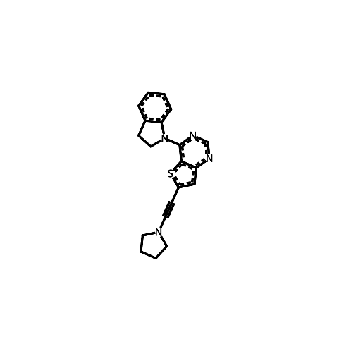 C(#CN1CCCC1)c1cc2ncnc(N3CCc4ccccc43)c2s1